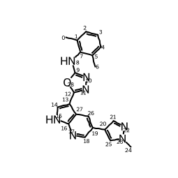 Cc1cccc(C)c1Nc1nnc(-c2c[nH]c3ncc(-c4cnn(C)c4)cc23)o1